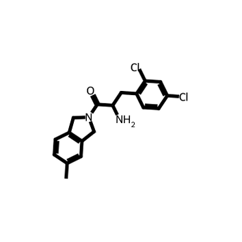 Cc1ccc2c(c1)CN(C(=O)C(N)Cc1ccc(Cl)cc1Cl)C2